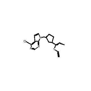 C=CS/C(=C\C)C1CCC(n2ccc3c(Cl)ncnc32)C1